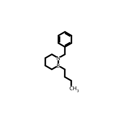 CCCCB1CCCCN1Cc1ccccc1